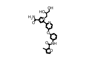 Cc1ccoc1C(=O)Nc1cccc(Oc2ccnc(-c3cc(C(N)=O)cn3CC(O)CO)c2)c1